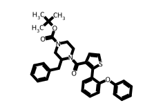 CC(C)(C)OC(=O)N1CCN(C(=O)c2ccsc2-c2ccccc2Oc2ccccc2)C(Cc2ccccc2)C1